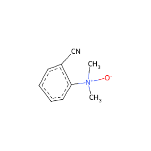 C[N+](C)([O-])c1ccccc1C#N